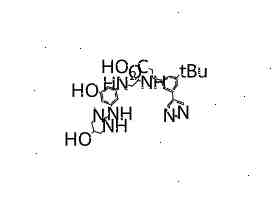 CC(C)(C)c1cc(-c2cncnc2)cc(C(CC(=O)O)NC(=O)CNc2cc(O)cc(NC3=NCC(O)CN3)c2)c1